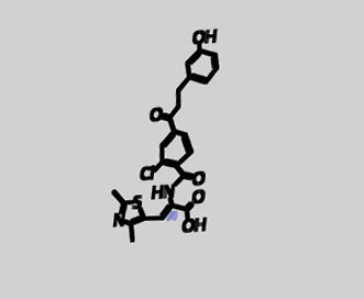 Cc1nc(C)c(/C=C(\NC(=O)c2ccc(C(=O)CCc3cccc(O)c3)cc2Cl)C(=O)O)s1